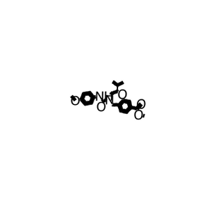 COC(=O)c1ccc2c(c1)O[C@H](C(C)C)CN(C(=O)Nc1ccc(OC)cc1)C2